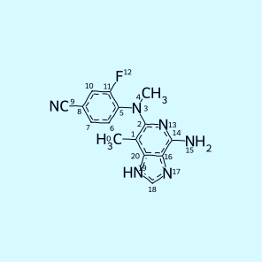 Cc1c(N(C)c2ccc(C#N)cc2F)nc(N)c2nc[nH]c12